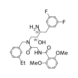 CCc1cccc(CN(C[C@@H](O)[C@@H](N)Cc2cc(F)cc(F)c2)C(=O)CNC(=O)c2c(OC)cccc2OC)c1